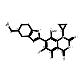 COc1c(-c2cc3c(s2)CCC(CO)C3)c(F)c(C)c2c(=O)[nH]c(=O)n(C3CC3)c12